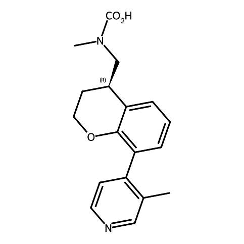 Cc1cnccc1-c1cccc2c1OCC[C@H]2CN(C)C(=O)O